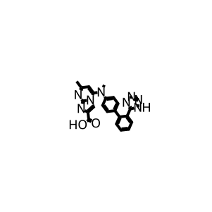 Cc1cc(N(C)c2ccc(-c3ccccc3-c3nnn[nH]3)cc2)n2cc(C(=O)O)nc2n1